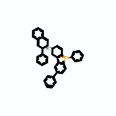 c1ccc(-c2ccc3c(c2)c2c(p3-c3ccccc3)C=CC([C@H]3C=c4ccccc4=CC3c3ccccc3)C2)cc#1